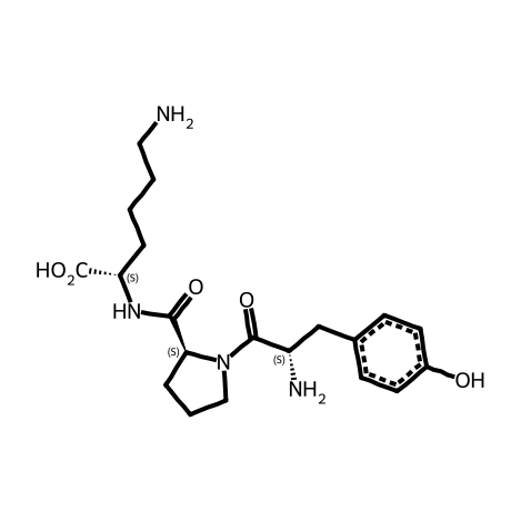 NCCCC[C@H](NC(=O)[C@@H]1CCCN1C(=O)[C@@H](N)Cc1ccc(O)cc1)C(=O)O